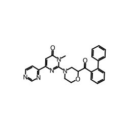 Cn1c(N2CCOC(C(=O)c3ccccc3-c3ccccc3)C2)nc(-c2ccncn2)cc1=O